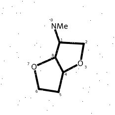 CNC1COC2CCOC12